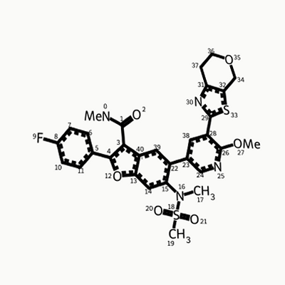 CNC(=O)c1c(-c2ccc(F)cc2)oc2cc(N(C)S(C)(=O)=O)c(-c3cnc(OC)c(-c4nc5c(s4)COCC5)c3)cc12